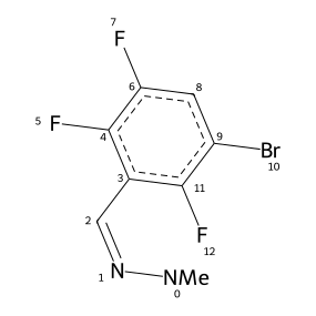 CN/N=C\c1c(F)c(F)cc(Br)c1F